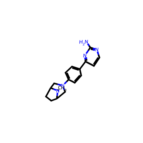 CN1C2CCC1CN(c1ccc(-c3ccnc(N)n3)cc1)C2